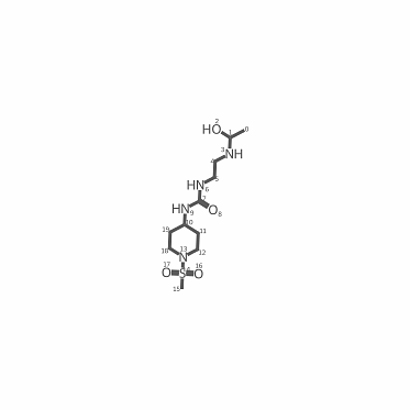 CC(O)NCCNC(=O)NC1CCN(S(C)(=O)=O)CC1